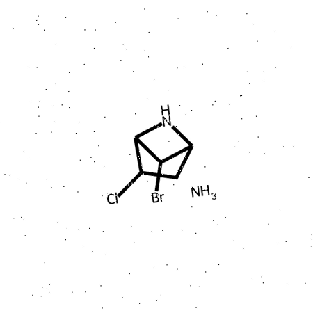 ClC1CC2NC1C2Br.N